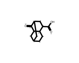 O=C(O)C1CC2CC3CCC1C(C3)C2=O